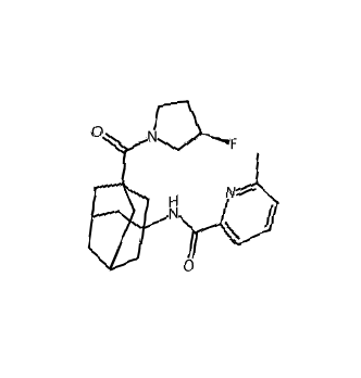 Cc1cccc(C(=O)NC23CC4CC(C2)CC(C(=O)N2CC[C@@H](F)C2)(C4)C3)n1